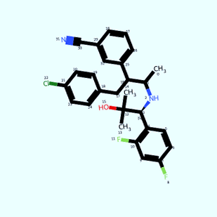 CC(N[C@@H](c1ccc(F)cc1F)C(C)(C)O)C(Cc1ccc(Cl)cc1)c1cccc(C#N)c1